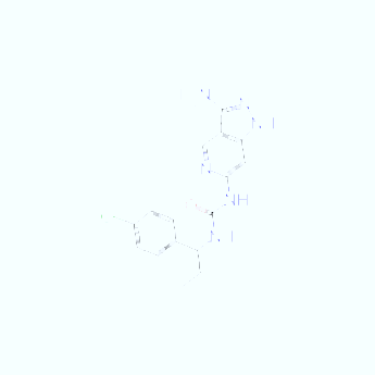 CCC(NC(=O)Nc1cc2[nH]nc(N)c2cn1)c1ccc(Cl)cc1